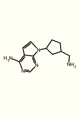 NCC1CCC(n2ccc3c(N)ncnc32)C1